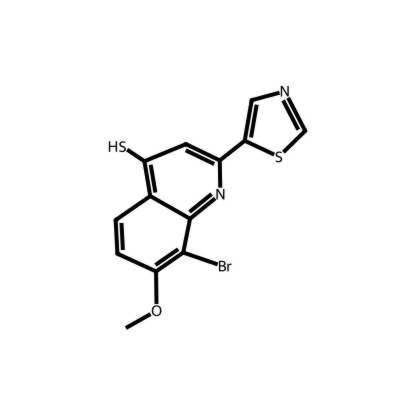 COc1ccc2c(S)cc(-c3cncs3)nc2c1Br